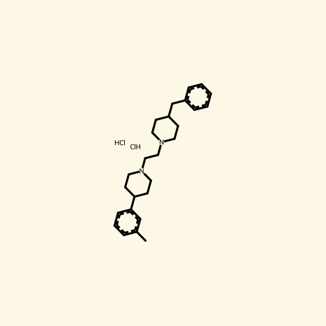 Cc1cccc(C2CCN(CCN3CCC(Cc4ccccc4)CC3)CC2)c1.Cl.Cl